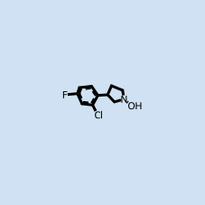 ON1CCC(c2ccc(F)cc2Cl)C1